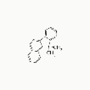 CC1(C)c2ccccc2-c2ccc3ccccc3c21